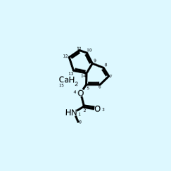 CNC(=O)Oc1cccc2ccccc12.[CaH2]